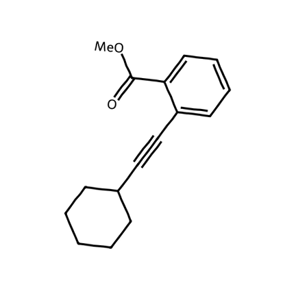 COC(=O)c1ccccc1C#CC1CCCCC1